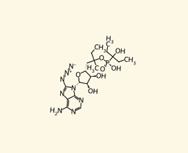 CCC(C)(C[C@H]1O[C@@H](n2c(N=[N+]=[N-])nc3c(N)ncnc32)[C@H](O)[C@@H]1O)OP(=O)(O)C(O)(CC)CC